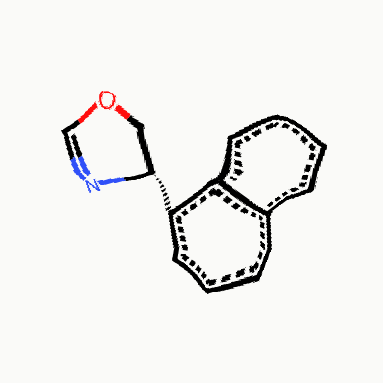 C1=N[C@@H](c2cccc3ccccc23)CO1